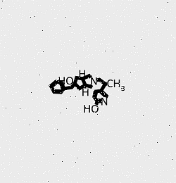 CC(CN1C[C@@H]2C[C@@](O)(Cc3ccccc3)C[C@@H]2C1)c1ccc(O)nc1